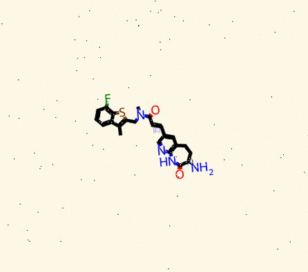 Cc1c(CN(C)C(=O)/C=C/c2cnc3c(c2)CC[C@H](N)C(=O)N3)sc2c(F)cccc12